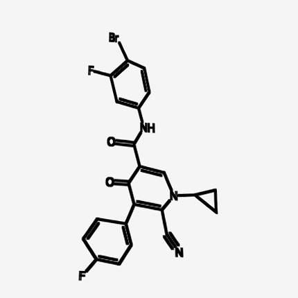 N#Cc1c(-c2ccc(F)cc2)c(=O)c(C(=O)Nc2ccc(Br)c(F)c2)cn1C1CC1